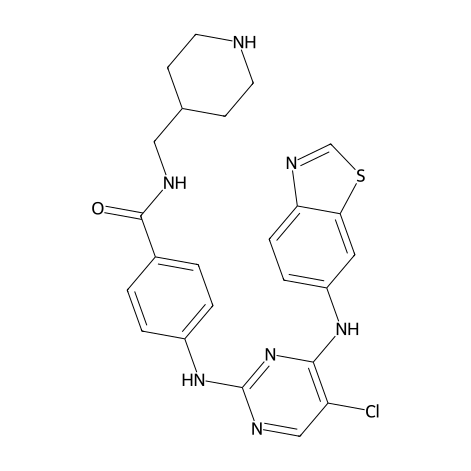 O=C(NCC1CCNCC1)c1ccc(Nc2ncc(Cl)c(Nc3ccc4ncsc4c3)n2)cc1